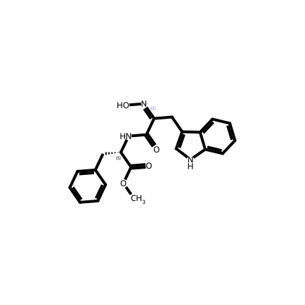 COC(=O)[C@H](Cc1ccccc1)NC(=O)/C(Cc1c[nH]c2ccccc12)=N\O